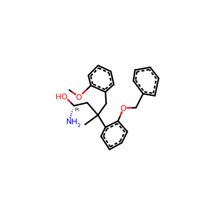 COc1ccccc1CC(C)(C[C@H](N)O)c1ccccc1OCc1ccccc1